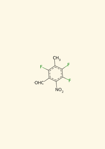 Cc1c(F)c(F)c([N+](=O)[O-])c([C]=O)c1F